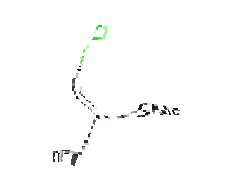 CCC/C(=C/Cl)SC